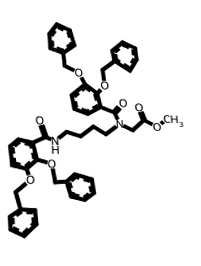 COC(=O)CN(CCCCNC(=O)c1cccc(OCc2ccccc2)c1OCc1ccccc1)C(=O)c1cccc(OCc2ccccc2)c1OCc1ccccc1